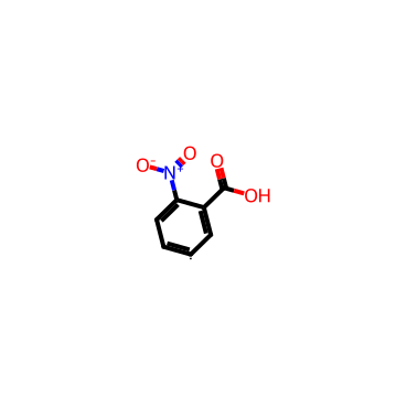 O=C(O)c1c[c]ccc1[N+](=O)[O-]